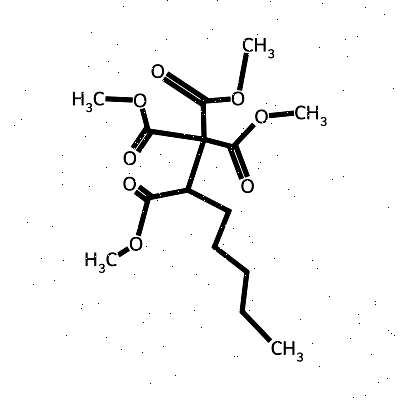 CCCCCC(C(=O)OC)C(C(=O)OC)(C(=O)OC)C(=O)OC